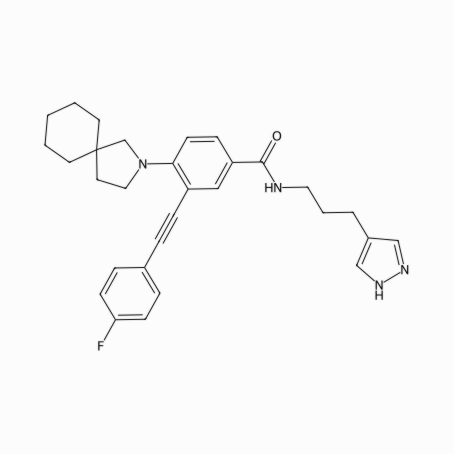 O=C(NCCCc1cn[nH]c1)c1ccc(N2CCC3(CCCCC3)C2)c(C#Cc2ccc(F)cc2)c1